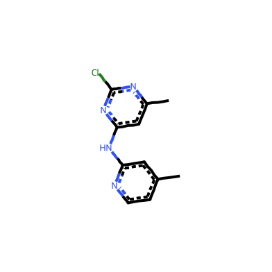 Cc1ccnc(Nc2cc(C)nc(Cl)n2)c1